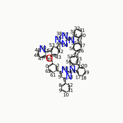 c1ccc(-c2cc(-c3ccccc3)nc(-n3c4ccccc4c4cc(-c5ccc6c7ccccc7n(-c7ncnc(-c8ccc9oc%10cccnc%10c9c8)n7)c6c5)ccc43)n2)cc1